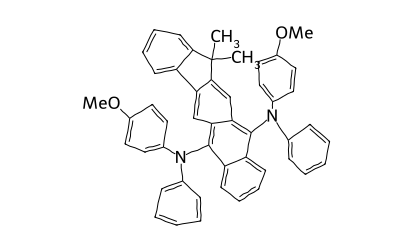 COc1ccc(N(c2ccccc2)c2c3ccccc3c(N(c3ccccc3)c3ccc(OC)cc3)c3cc4c(cc23)-c2ccccc2C4(C)C)cc1